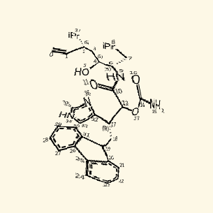 C=C[C@@H](C[C@H](O)[C@H](CC(C)C)NC(=O)C(OC(N)=O)[C@H](CC1c2ccccc2-c2ccccc21)c1c[nH]cn1)C(C)C